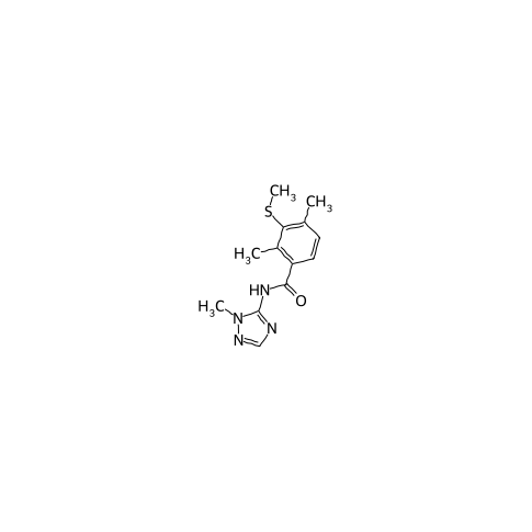 CSc1c(C)ccc(C(=O)Nc2ncnn2C)c1C